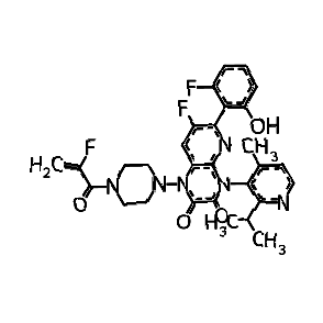 C=C(F)C(=O)N1CCN(n2c(=O)c(=O)n(-c3c(C)ccnc3C(C)C)c3nc(-c4c(O)cccc4F)c(F)cc32)CC1